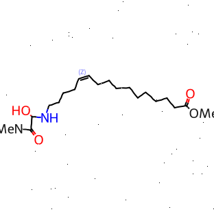 CNC(=O)C(O)NCCCC/C=C\CCCCCCCCCC(=O)OC